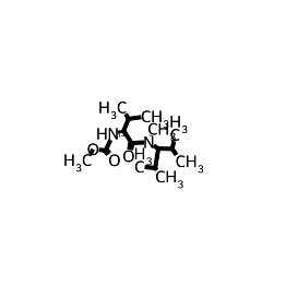 COC(=O)N[C@H](C(=O)N(C)C(C(C)C)C(C)C)C(C)C